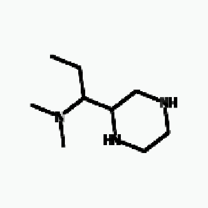 CCC(C1CNCCN1)N(C)C